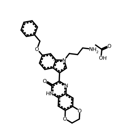 CC(=O)O.NCCCn1cc(-c2nc3cc4c(cc3[nH]c2=O)OCCO4)c2ccc(OCc3ccccc3)cc21